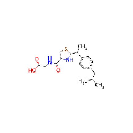 CC(C)Cc1ccc(C(C)C2NC(C(=O)NCC(=O)O)CS2)cc1